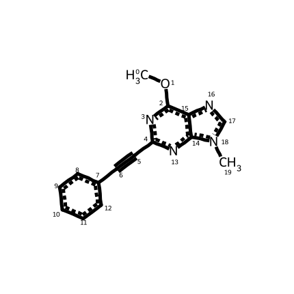 COc1nc(C#Cc2ccccc2)nc2c1ncn2C